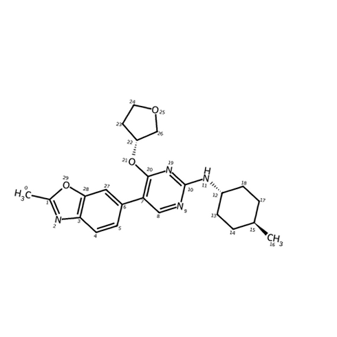 Cc1nc2ccc(-c3cnc(N[C@H]4CC[C@H](C)CC4)nc3O[C@@H]3CCOC3)cc2o1